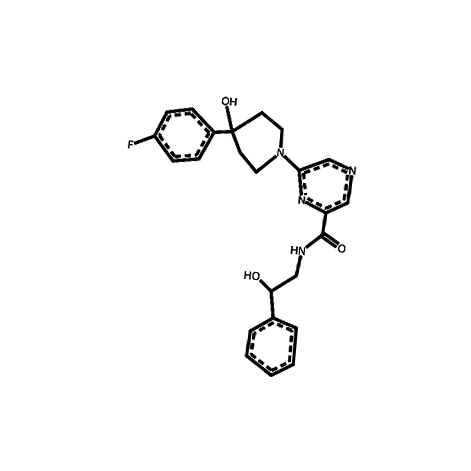 O=C(NCC(O)c1ccccc1)c1cncc(N2CCC(O)(c3ccc(F)cc3)CC2)n1